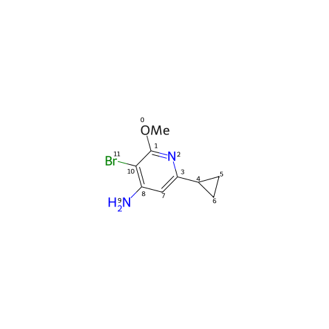 COc1nc(C2CC2)cc(N)c1Br